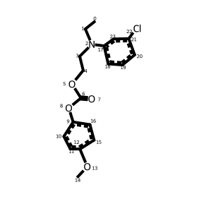 CCN(CCOC(=O)Oc1ccc(OC)cc1)c1cccc(Cl)c1